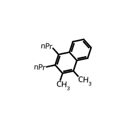 CCCc1c(C)c(C)c2ccccc2c1CCC